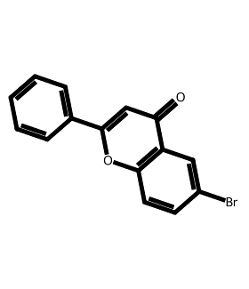 O=c1cc(-c2ccccc2)oc2ccc(Br)cc12